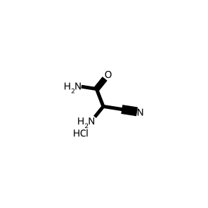 Cl.N#CC(N)C(N)=O